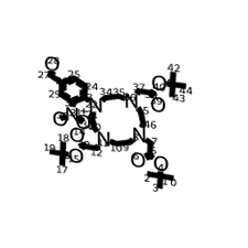 CC(C)(C)OC(=O)CN1CCN(CC(=O)OC(C)(C)C)CCN(c2ccc(C=O)cc2[N+](=O)[O-])CCN(CC(=O)OC(C)(C)C)CC1